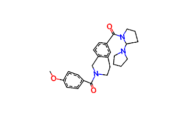 COc1ccc(C(=O)N2CCc3cc(C(=O)N4CCCC4N4CCCC4)ccc3C2)cc1